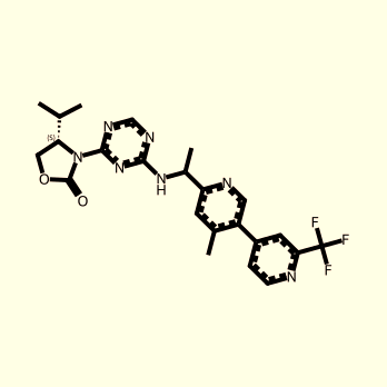 Cc1cc(C(C)Nc2ncnc(N3C(=O)OC[C@@H]3C(C)C)n2)ncc1-c1ccnc(C(F)(F)F)c1